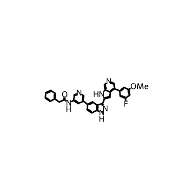 COc1cc(F)cc(-c2cncc3[nH]c(-c4n[nH]c5ccc(-c6cncc(NC(=O)Cc7ccccc7)c6)cc45)cc23)c1